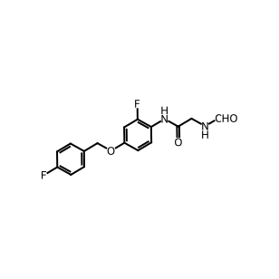 O=CNCC(=O)Nc1ccc(OCc2ccc(F)cc2)cc1F